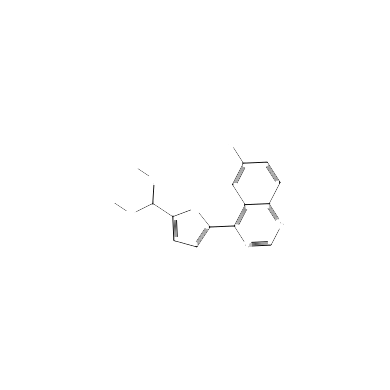 CCOC(OCC)c1ccc(-c2ncnc3ccc(Br)cc23)s1